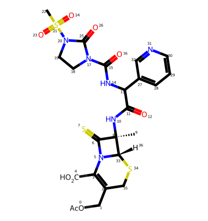 CC(=O)OCC1=C(C(=O)O)N2C(=S)[C@@](C)(NC(=O)C(NC(=O)N3CCN(S(C)(=O)=O)C3=O)c3cccnc3)[C@@H]2SC1